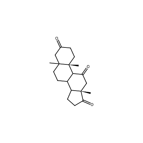 CC12CCC3C4CCC(=O)[C@@]4(C)CC(=O)C3[C@@]1(C)CCC(=O)C2